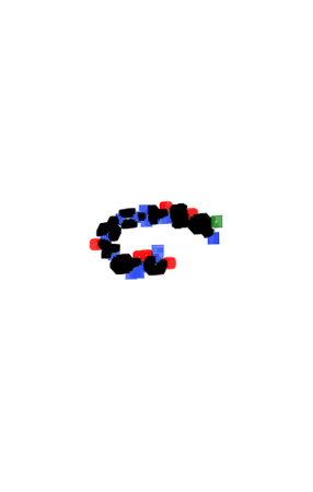 CC1(C)C(NC(=O)c2cnc(N3CCN(CC4CCN(C(=O)C5CN(c6ccc7nnn(C8CCC(=O)NC8=O)c(=O)c7c6)C5)CC4)CC3)nc2)C(C)(C)C1Oc1ccc(C#N)c(Cl)c1